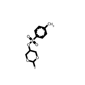 Cc1ccc(S(=O)(=O)OC2COC(I)OC2)cc1